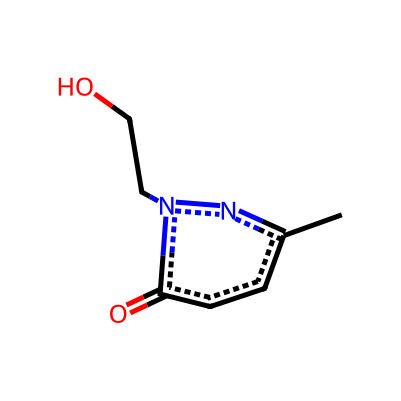 Cc1ccc(=O)n(CCO)n1